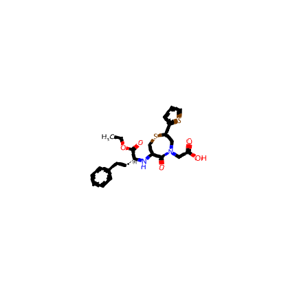 CCOC(=O)[C@@H](CCc1ccccc1)NC1CSC(c2cccs2)CN(CC(=O)O)C1=O